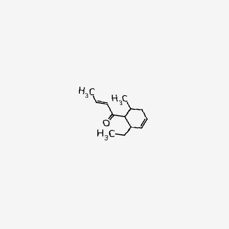 C/C=C/C(=O)C1C(C)CC=CC1CC